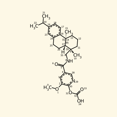 COc1cc(C(=O)NC[C@@]2(C)CCC[C@]3(C)c4ccc(C(C)C)cc4CC[C@@H]23)cnc1OC(=O)O